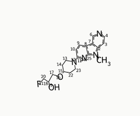 Cn1c2ccncc2c2ccc(N3CCC(OCC(O)CF)CC3)nc21